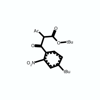 CC(=O)C(C(=O)OC(C)(C)C)C(=O)c1ccc(C(C)(C)C)cc1[N+](=O)[O-]